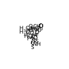 CC(C)OC(=O)[C@H](C)NP(=O)(OC[C@@]1(F)O[C@@H](n2ccc(=S)[nH]c2=S)[C@@](O)(CF)C1O)Oc1ccccc1